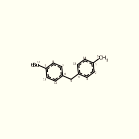 Cc1ccc(Cc2ccc(C(C)(C)C)cc2)cc1